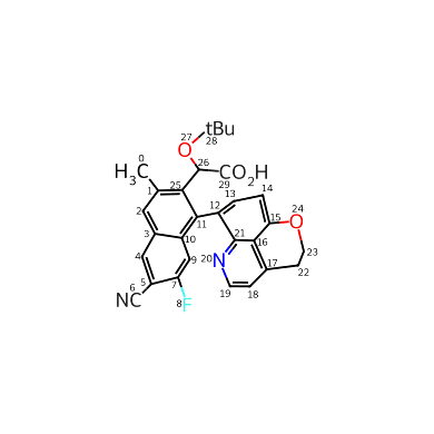 Cc1cc2cc(C#N)c(F)cc2c(-c2ccc3c4c(ccnc24)CCO3)c1C(OC(C)(C)C)C(=O)O